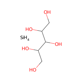 OCC(O)C(O)C(O)CO.[SiH4]